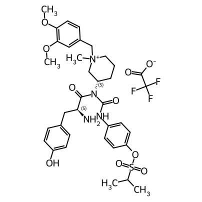 COc1ccc(C[N+]2(C)CCC[C@H](N(C(=O)Nc3ccc(OS(=O)(=O)C(C)C)cc3)C(=O)[C@@H](N)Cc3ccc(O)cc3)C2)cc1OC.O=C([O-])C(F)(F)F